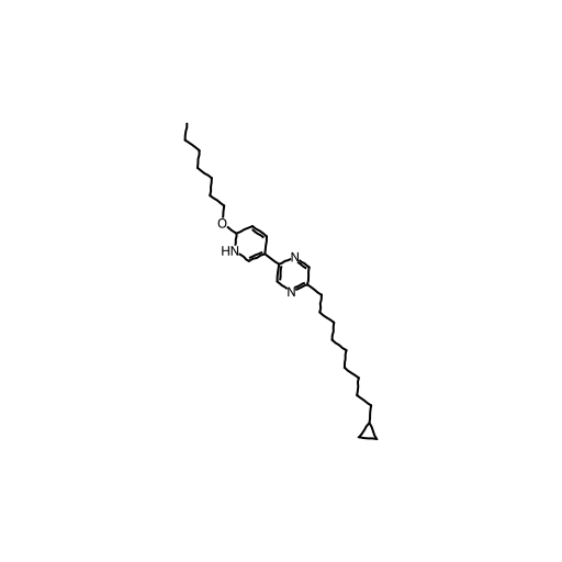 CCCCCCCOC1C=CC(c2cnc(CCCCCCCCCC3CC3)cn2)=CN1